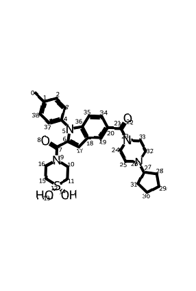 Cc1ccc(-n2c(C(=O)N3CCS(O)(O)CC3)cc3cc(C(=O)N4CCN(C5CCCC5)CC4)ccc32)cc1